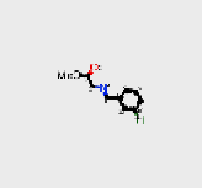 COC(=O)CN=Cc1cccc(Cl)c1